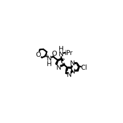 CC(C)Nc1cc(-c2cnn3cc(Cl)cnc23)ncc1C(=O)N[C@@H]1CCCOC1